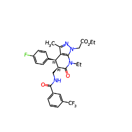 CCOC(=O)Cn1nc(C)c2c1N(CC)C(=O)[C@@H](CNC(=O)c1cccc(C(F)(F)F)c1)[C@H]2c1ccc(F)cc1